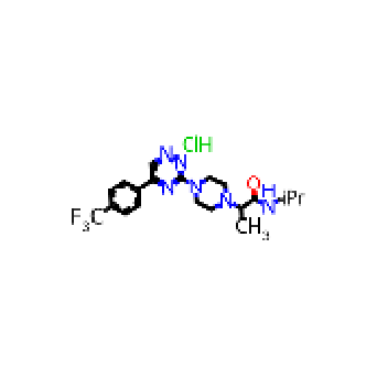 CC(C)NC(=O)C(C)N1CCN(c2nncc(-c3ccc(C(F)(F)F)cc3)n2)CC1.Cl